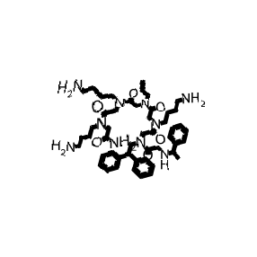 C=CCN(CC(=O)N(CCCCN)CC(=O)N(CCCCN)CC(N)=O)C(=O)CN(CCCCN)C(=O)CN(CC(c1ccccc1)c1ccccc1)C(=O)CNC(C)c1ccccc1